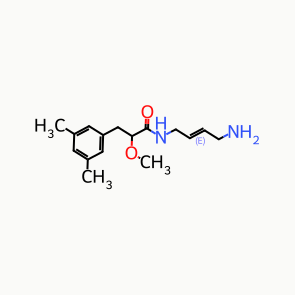 COC(Cc1cc(C)cc(C)c1)C(=O)NC/C=C/CN